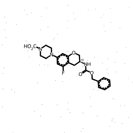 O=C(N[C@@H]1COc2cc(N3CCN(C(=O)O)CC3)cc(F)c2C1)OCc1ccccc1